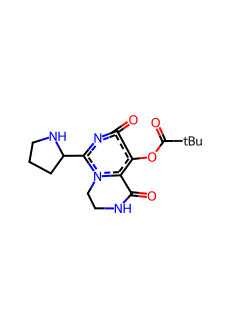 CC(C)(C)C(=O)Oc1c2n(c(C3CCCN3)nc1=O)CCNC2=O